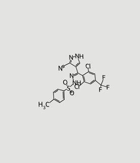 Cc1ccc(S(=O)(=O)NN=C(c2c[nH]nc2C#N)c2c(Cl)cc(C(F)(F)F)cc2Cl)cc1